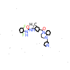 Cc1cc(C(=O)N2CCCN(Cc3cccnc3)c3ccccc32)ccc1CNC(=O)Nc1c(F)cccc1F